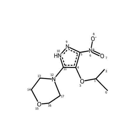 CC(C)Oc1c([N+](=O)[O-])n[nH]c1N1CCOCC1